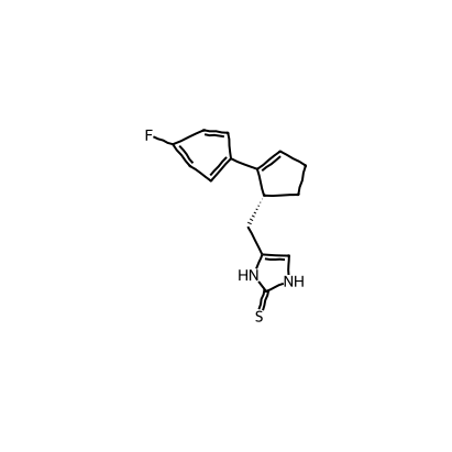 Fc1ccc(C2=CCC[C@@H]2Cc2c[nH]c(=S)[nH]2)cc1